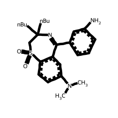 CCCCC1(CCCC)CS(=O)(=O)c2ccc(N(C)C)cc2C(c2cccc(N)c2)=N1